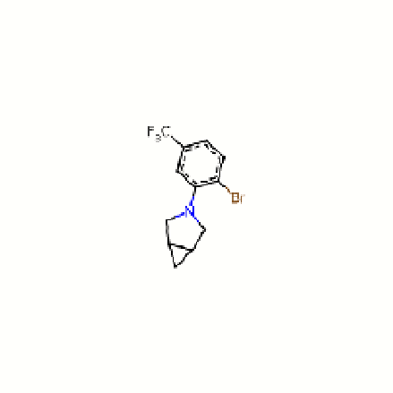 FC(F)(F)c1ccc(Br)c(N2CC3CC3C2)c1